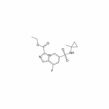 CCOC(=O)c1ncc2c(F)cc(S(=O)(=O)NC3(C)CC3)cn12